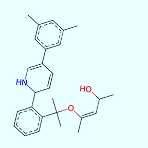 C/C(=C/C(C)O)OC(C)(C)c1ccccc1C1C=CC(c2cc(C)cc(C)c2)=CN1